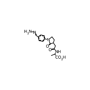 CC(NC(=O)CC1CCN(c2ccc(C=NN)cc2)C1=O)C(=O)O